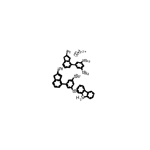 CC(C)C1=Cc2c(cccc2-c2cc(C(C)(C)C)cc(C(C)(C)C)c2)C1.CC(C)C1=Cc2c(cccc2-c2cc(C(C)(C)C)cc(C(C)(C)C)c2)C1.[Cl-].[Cl-].[Zr+2].c1ccc2c(c1)[SiH2]c1ccccc1-2